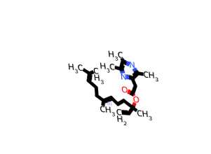 C=CC(C)(CC/C=C(\C)CCC=C(C)C)OC(=O)Cc1nc(C)c(C)nc1C